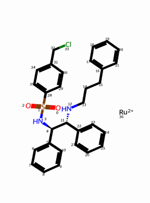 O=S(=O)(N[C@H](c1ccccc1)[C@H](NCCCc1ccccc1)c1ccccc1)c1ccc(CCl)cc1.[Ru+2]